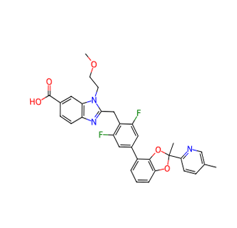 COCCn1c(Cc2c(F)cc(-c3cccc4c3OC(C)(c3ccc(C)cn3)O4)cc2F)nc2ccc(C(=O)O)cc21